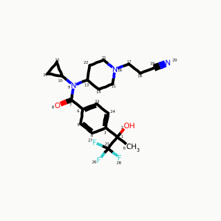 CC(O)(c1ccc(C(=O)N(C2CC2)C2CCN(CCC#N)CC2)cc1)C(F)(F)F